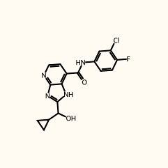 O=C(Nc1ccc(F)c(Cl)c1)c1ccnc2nc(C(O)C3CC3)[nH]c12